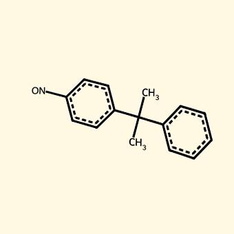 CC(C)(c1ccccc1)c1ccc(N=O)cc1